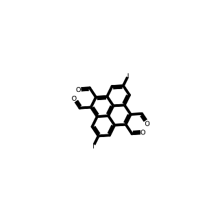 O=Cc1c(C=O)c2cc(I)cc3c(C=O)c(C=O)c4cc(I)cc1c4c23